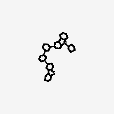 c1ccc(-n2c3ccccc3c3cc(-c4cccc(-c5cccc(-c6ccc7sc8ccccc8c7c6)c5)c4)ccc32)cc1